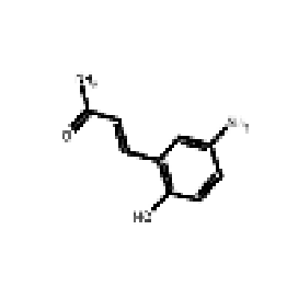 NC(=O)/C=C/c1cc(N)ccc1O